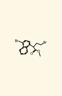 COC(=O)C(CCBr)c1ccc(Br)c2ccccc12